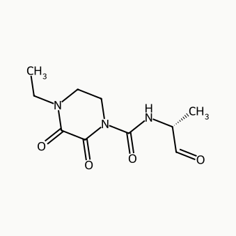 CCN1CCN(C(=O)N[C@H](C)C=O)C(=O)C1=O